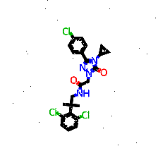 CC(C)(CNC(=O)Cn1nc(-c2ccc(Cl)cc2)n(C2CC2)c1=O)c1c(Cl)cccc1Cl